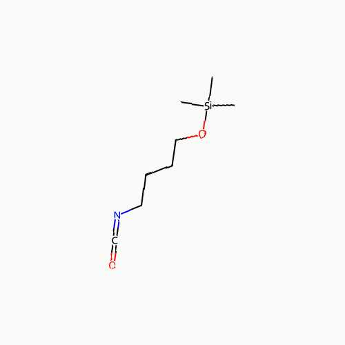 C[Si](C)(C)OCCCCN=C=O